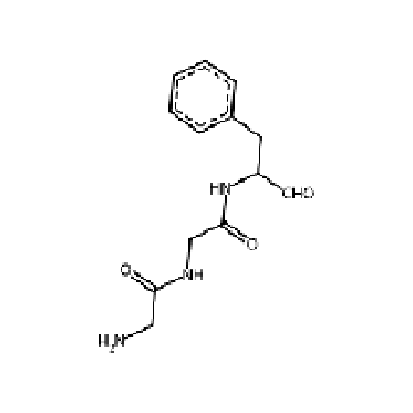 NCC(=O)NCC(=O)NC(C=O)Cc1ccccc1